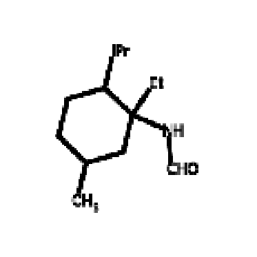 CCC1(NC=O)CC(C)CCC1C(C)C